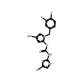 CCCc1cc(OC(=O)Nc2ncc(Cl)s2)n(Cc2ccc(F)c(F)c2)c1